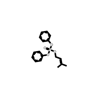 CC(C)=CCOP(=O)(Oc1ccccc1)Oc1ccccc1